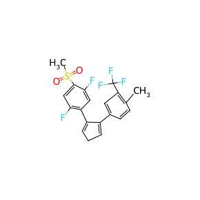 Cc1ccc(C2=CCC=C2c2cc(F)c(S(C)(=O)=O)cc2F)cc1C(F)(F)F